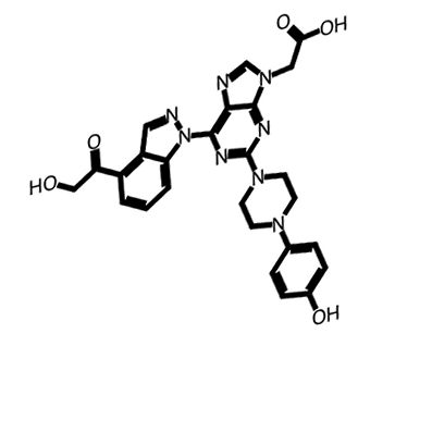 O=C(O)Cn1cnc2c(-n3ncc4c(C(=O)CO)cccc43)nc(N3CCN(c4ccc(O)cc4)CC3)nc21